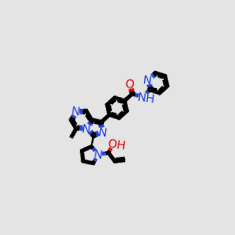 C=CC(O)N1CCC[C@H]1c1nc(-c2ccc(C(=O)Nc3ccccn3)cc2)c2cncc(C)n12